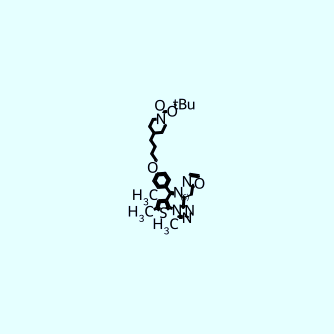 Cc1sc2c(c1C)C(c1ccc(OCCCCC3CCN(C(=O)OC(C)(C)C)CC3)cc1)=N[C@@H](Cc1ncco1)c1nnc(C)n1-2